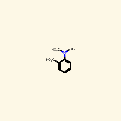 CCCCN(C(=O)O)c1ccccc1C(=O)O